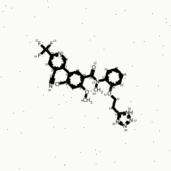 COc1cc(Cl)c(-c2cnc(C(F)(F)F)cc2C#N)cc1C(=O)N(C)c1ccccc1OCCc1nnn[nH]1